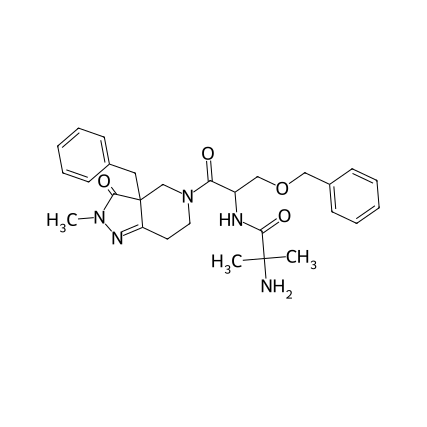 CN1N=C2CCN(C(=O)C(COCc3ccccc3)NC(=O)C(C)(C)N)CC2(Cc2ccccc2)C1=O